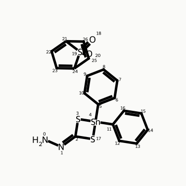 NN=C1[S][Sn]([c]2ccccc2)([c]2ccccc2)[S]1.O=S1(=O)C2=CC=C1C=C2